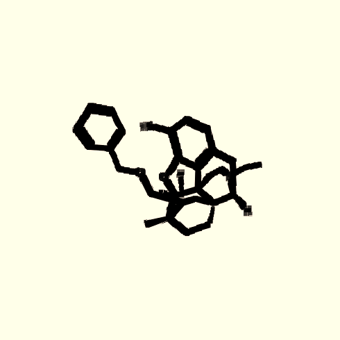 CN1CC[C@]23c4c5ccc(S)c4O[C@H]2[C@@]2(C)CC[C@@]3(C[C@@H]2COCc2ccccc2)[C@H]1C5